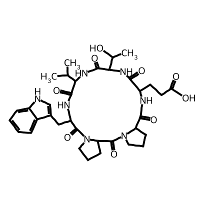 CC(C)C1NC(=O)C(C(C)O)NC(=O)C(CCC(=O)O)NC(=O)C2CCCN2C(=O)C2CCCN2C(=O)C(Cc2c[nH]c3ccccc23)NC1=O